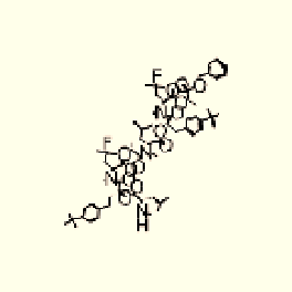 CN[C@@H](CC(C)C)C(=O)O[C@H](CCc1ccc(C(C)(C)C)cc1)C(=O)N(C)[C@@H](CC(C)(C)F)C(=O)O[C@H](C)C(=O)N(C)[C@@H](CC(C)C)C(=O)O[C@H](Cc1ccc(C(C)(C)C)cc1)C(=O)N(C)[C@@H](CC(C)(C)F)C(=O)O[C@H](C)C(=O)OCc1ccccc1